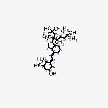 C=C1/C(=C\C=C2/CCC[C@@]3(C)C2CC[C@@H]3[C@@](C)(CCCC(C)(C)O)CC(O)(C(F)(F)F)C(F)(F)F)CC(O)C[C@@H]1O